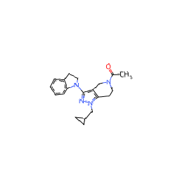 CC(=O)N1CCc2c(c(N3CCc4ccccc43)nn2CC2CC2)C1